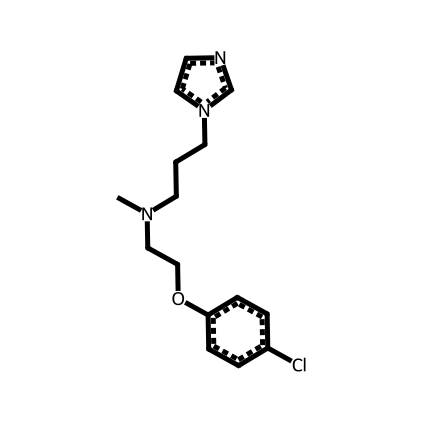 CN(CCCn1ccnc1)CCOc1ccc(Cl)cc1